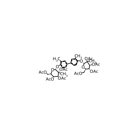 CC(=O)OC[C@H]1O[C@H](Oc2ccc(-c3ccc(O[C@H]4O[C@H](COC(C)=O)[C@@H](OC(C)=O)[C@H](OC(C)=O)[C@]4(C)OC(C)=O)c(C)c3)cc2C)[C@](C)(OC(C)=O)[C@@H](OC(C)=O)[C@@H]1OC(C)=O